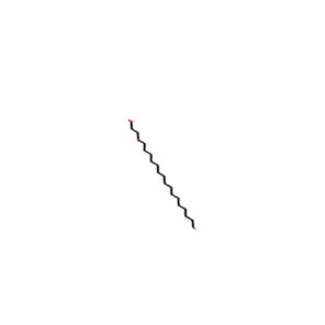 CCCC(O)CCC(O)CCCCCCCCCCCCCCCCC(=O)O